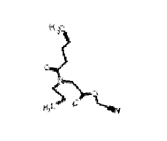 C=CCCC(=O)N(CCC)CC(=O)OCC#N